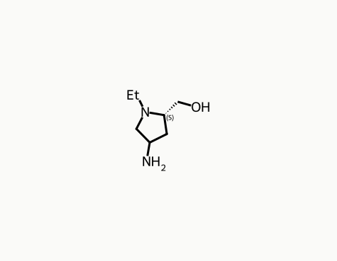 CCN1CC(N)C[C@H]1CO